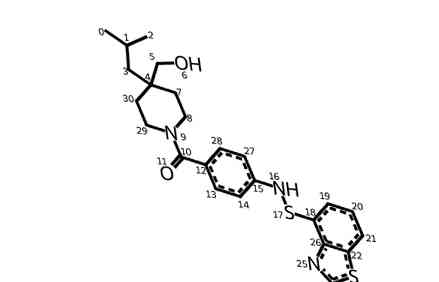 CC(C)CC1(CO)CCN(C(=O)c2ccc(NSc3cccc4scnc34)cc2)CC1